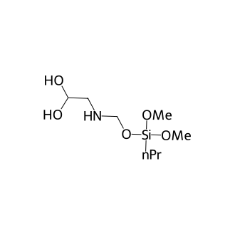 CCC[Si](OC)(OC)OCNCC(O)O